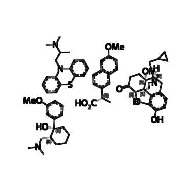 CC(CN1c2ccccc2Sc2ccccc21)N(C)C.COc1ccc2cc([C@H](C)C(=O)O)ccc2c1.COc1cccc([C@@]2(O)CCCC[C@@H]2CN(C)C)c1.O=C1CC[C@@]2(O)[C@H]3Cc4ccc(O)c5c4[C@@]2(CCN3CC2CC2)[C@H]1O5